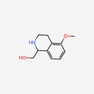 COc1cccc2c1CCNC2CO